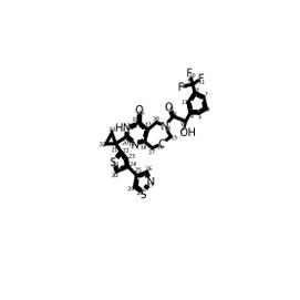 O=C([C@H](O)c1cccc(C(F)(F)F)c1)N1CCCc2nc(C3(c4cc(-c5cnsc5)cs4)CC3)[nH]c(=O)c2C1